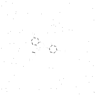 COC(=S)Nc1ccc(I)cc1COc1ccc(C)cc1C